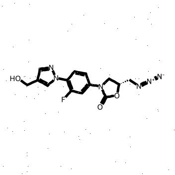 [N-]=[N+]=NC[C@H]1CN(c2ccc(-n3cc(CO)cn3)c(F)c2)C(=O)O1